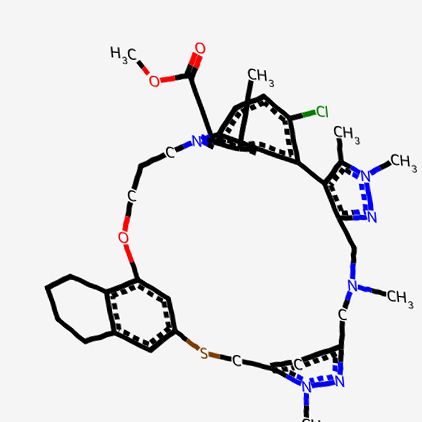 COC(=O)c1c(C)c2c3c(Cl)ccc2n1CCCOc1cc(cc2c1CCCC2)SCc1cc(nn1C)CN(C)Cc1nn(C)c(C)c1-3